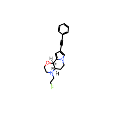 FCCN1CCO[C@H]2c3cc(C#Cc4ccccc4)cn3CC[C@H]21